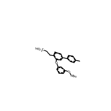 CCCCOc1cccc(Oc2cc(-c3ccc(C)cc3)ccc2CCC(=O)O)c1